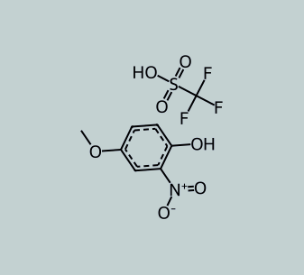 COc1ccc(O)c([N+](=O)[O-])c1.O=S(=O)(O)C(F)(F)F